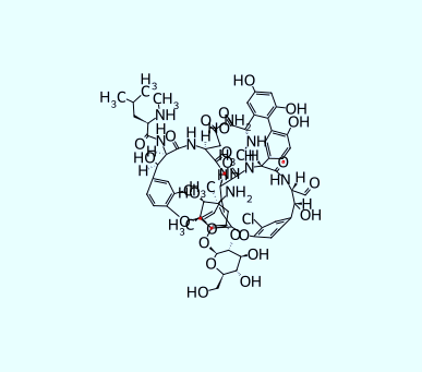 CN[C@H](C(=O)O)c1cc(O)cc(O)c1-c1cc([C@H]2NC(=O)[C@@H]3NC(=O)[C@H](CC(N)=O)NC(=O)[C@H](NC(=O)[C@@H](CC(C)C)NC)[C@H](O)c4ccc(c(Cl)c4)Oc4cc3cc(c4O[C@@H]3O[C@H](CO)[C@@H](O)[C@H](O)[C@H]3O[C@H]3C[C@](C)(N)[C@H](O)[C@H](C)O3)Oc3ccc(cc3Cl)[C@@H](O)[C@@H](C=O)NC2=O)ccc1O